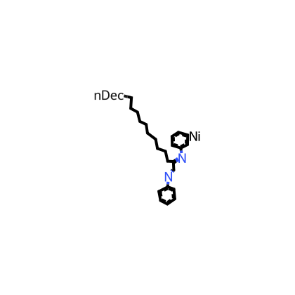 CCCCCCCCCCCCCCCCCCCCC(/C=N/c1ccccc1)=N\c1ccccc1.[Ni]